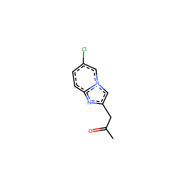 CC(=O)Cc1cn2cc(Cl)ccc2n1